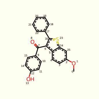 COc1ccc2c(C(=O)c3ccc(O)cc3)c(-c3ccccc3)sc2c1